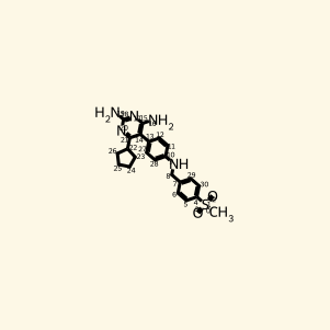 CS(=O)(=O)c1ccc(CNc2ccc(-c3c(N)nc(N)nc3C3CCCC3)cc2)cc1